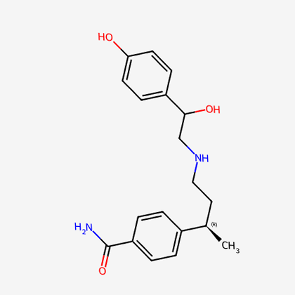 C[C@H](CCNCC(O)c1ccc(O)cc1)c1ccc(C(N)=O)cc1